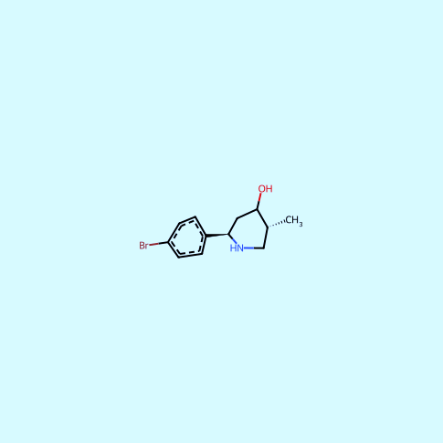 C[C@@H]1CN[C@@H](c2ccc(Br)cc2)CC1O